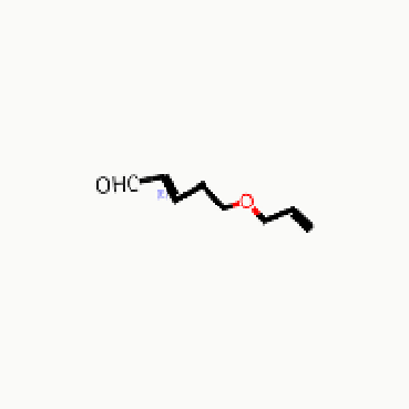 C=CCOCC/C=C/C=O